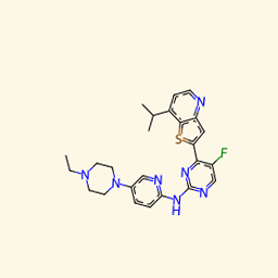 CCN1CCN(c2ccc(Nc3ncc(F)c(-c4cc5nccc(C(C)C)c5s4)n3)nc2)CC1